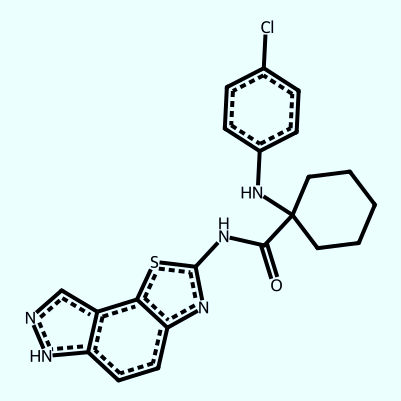 O=C(Nc1nc2ccc3[nH]ncc3c2s1)C1(Nc2ccc(Cl)cc2)CCCCC1